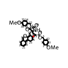 COc1ccc(COC(=O)[C@@H]2C[C@H]2[C@]2(CC3=C4OC=c5ccccc5=C4CC=C3)NC(=O)N(Cc3ccc(OC)cc3)C2=O)cc1